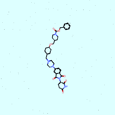 O=C1CCC(N2C(=O)c3ccc(N4CCN(CC5CCC(OCC6CCN(C(=O)OCc7ccccc7)CC6)CC5)CC4)cc3C2=O)C(=O)N1